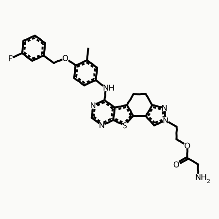 Cc1cc(Nc2ncnc3sc4c(c23)CCc2nn(CCOC(=O)CN)cc2-4)ccc1OCc1cccc(F)c1